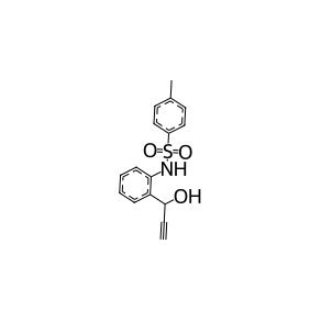 C#CC(O)c1ccccc1NS(=O)(=O)c1ccc(C)cc1